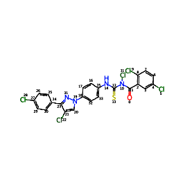 O=C(c1cc(Cl)ccc1Cl)N(Cl)C(=S)Nc1ccc(-n2cc(Cl)c(-c3ccc(Cl)cc3)n2)cc1